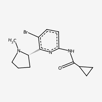 CN1CCC[C@H]1c1nc(NC(=O)C2CC2)ccc1Br